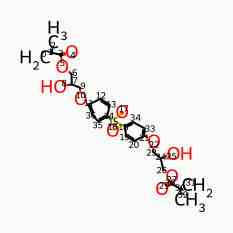 C=C(C)C(=O)OCC(O)COc1ccc(S(=O)(=O)c2ccc(OCC(O)COC(=O)C(=C)C)cc2)cc1